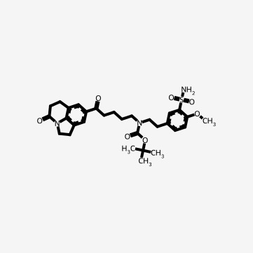 COc1ccc(CCN(CCCCC(=O)c2cc3c4c(c2)CCN4C(=O)CC3)C(=O)OC(C)(C)C)cc1S(N)(=O)=O